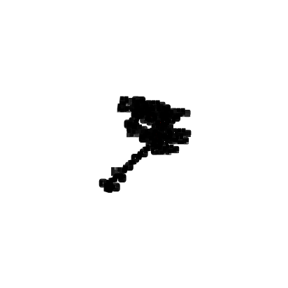 COC(=O)[C@H]1O[C@@H](O[C@H]2[C@H](OS(=O)(=O)OC)[C@@H](OS(=O)(=O)OC)[C@@H](O[C@H]3[C@H](OC)[C@@H](OC)[C@H](O[C@H]4[C@H](OS(=O)(=O)OC)[C@@H](OS(=O)(=O)OC)[C@@H](OC)O[C@@H]4COS(=O)(=O)OC)O[C@H]3C(=O)OC)O[C@@H]2COS(=O)(=O)OC)[C@H](OC)[C@@H](OC)[C@@H]1O[C@H]1O[C@H](COS(=O)(=O)OC)[C@@H](OCCOCCOCCOCCNC(=O)CCCN2C(=O)C=CC2=O)[C@H](OC)[C@H]1OC